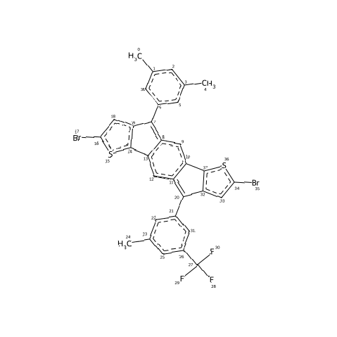 Cc1cc(C)cc(C2=c3cc4c(cc3-c3sc(Br)cc32)=C(c2cc(C)cc(C(F)(F)F)c2)c2cc(Br)sc2-4)c1